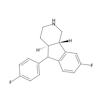 Fc1ccc(C2c3ccc(F)cc3[C@H]3CNCC[C@H]23)cc1